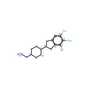 NCC1CCC(C2Cc3cc(F)c(F)c(F)c3C2)CC1